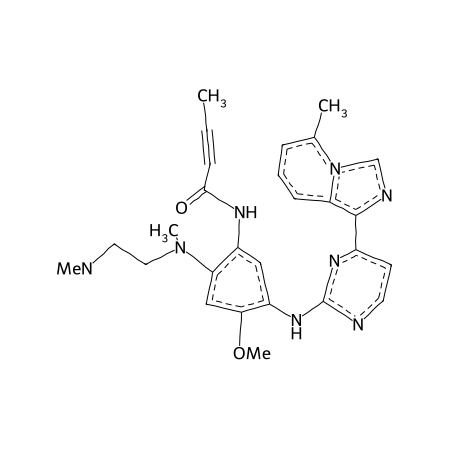 CC#CC(=O)Nc1cc(Nc2nccc(-c3ncn4c(C)cccc34)n2)c(OC)cc1N(C)CCNC